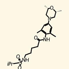 Cc1cc(N2C[C@@H](C)O[C@@H](C)C2)cc(C)c1NC(=O)CCCCNS(=O)(=O)C(C)C